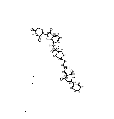 O=C1CCC(N2Cc3c(NS(=O)(=O)N4CCN(CCNC=C5C(=O)CC(c6ccccc6)CC5=O)CC4)cccc3C2=O)C(=O)N1